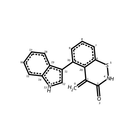 C=C1C(=O)NSc2cccc(-c3c[nH]c4ccccc34)c21